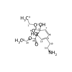 CCOC(=O)C1(O)C=CC(CCN)=CC1(O)C(=O)OCC